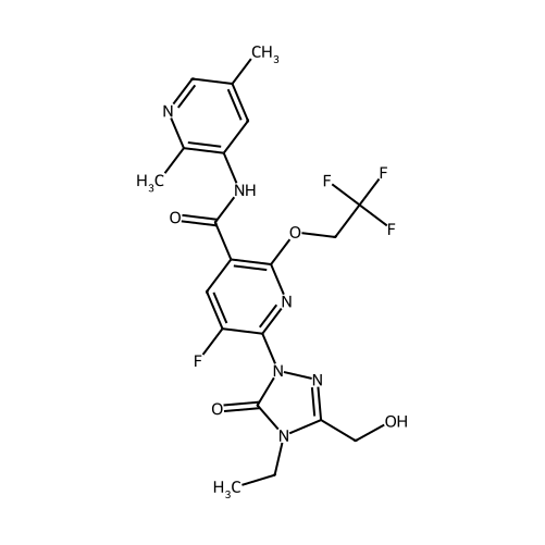 CCn1c(CO)nn(-c2nc(OCC(F)(F)F)c(C(=O)Nc3cc(C)cnc3C)cc2F)c1=O